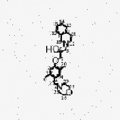 Cc1cc(OCC(O)CN2CCc3ccccc3C2)c(C)cc1CN1CCOCC1